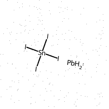 [I][Sn]([I])([I])[I].[PbH2]